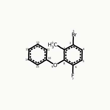 Cc1c(Br)ccc(F)c1Oc1ccccc1